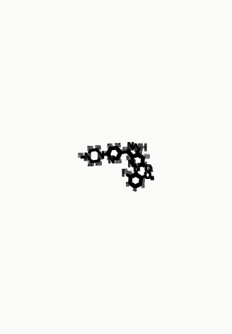 COc1cccc(F)c1-n1nc2c(-c3ccc(N4CCN(C)CC4)nc3)n[nH]c2cc1=O